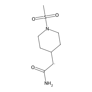 CS(=O)(=O)N1CCC([CH]C(N)=O)CC1